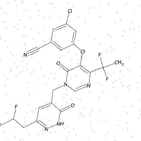 CC(F)(F)c1ncn(Cc2cc(CC(F)F)n[nH]c2=O)c(=O)c1Oc1cc(Cl)cc(C#N)c1